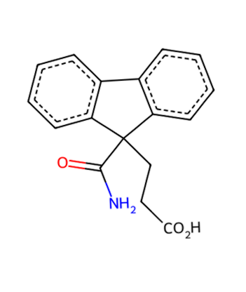 NC(=O)C1(CCC(=O)O)c2ccccc2-c2ccccc21